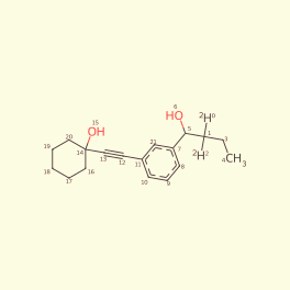 [2H]C([2H])(CC)C(O)c1cccc(C#CC2(O)CCCCC2)c1